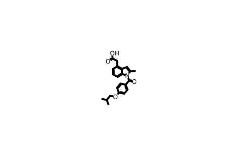 Cc1cc2c(CC(=O)O)cccc2n1C(=O)c1ccc(OCC(C)C)cc1